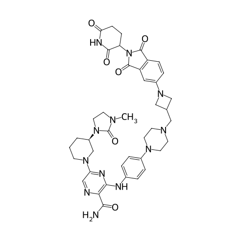 CN1CCN([C@@H]2CCCN(c3cnc(C(N)=O)c(Nc4ccc(N5CCN(CC6CN(c7ccc8c(c7)C(=O)N(C7CCC(=O)NC7=O)C8=O)C6)CC5)cc4)n3)C2)C1=O